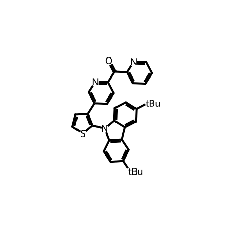 CC(C)(C)c1ccc2c(c1)c1cc(C(C)(C)C)ccc1n2-c1sccc1-c1ccc(C(=O)c2ccccn2)nc1